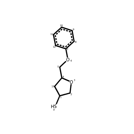 SC1COC(COc2ccccc2)C1